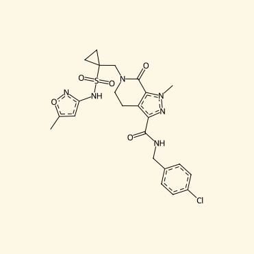 Cc1cc(NS(=O)(=O)C2(CN3CCc4c(C(=O)NCc5ccc(Cl)cc5)nn(C)c4C3=O)CC2)no1